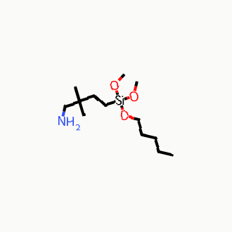 CCCCCO[Si](CCC(C)(C)CN)(OC)OC